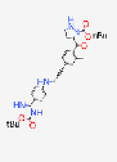 CCCCOC(=O)N1NCCC1C(=O)c1ccc(C#CCNc2ccc(C(=N)NC(=O)OC(C)(C)C)cc2)cc1C